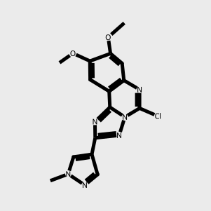 COc1cc2nc(Cl)n3nc(-c4cnn(C)c4)nc3c2cc1OC